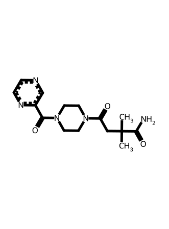 CC(C)(CC(=O)N1CCN(C(=O)c2cnccn2)CC1)C(N)=O